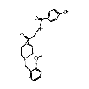 COc1ccccc1CN1CCN(C(=O)CCNC(=O)c2ccc(Br)cc2)CC1